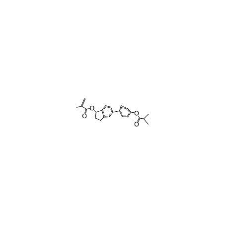 C=C(C)C(=O)OC1CCc2cc(-c3ccc(OC(=O)C(C)C)cc3)ccc21